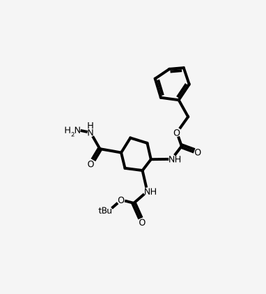 CC(C)(C)OC(=O)NC1CC(C(=O)NN)CCC1NC(=O)OCc1ccccc1